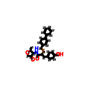 CC1OCC(=O)C1NC(=O)C(Cc1ccc(O)cc1)SCc1ccc(-c2ccccc2)cc1